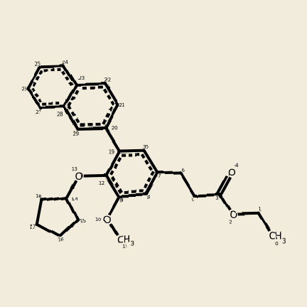 CCOC(=O)CCc1cc(OC)c(OC2CCCC2)c(-c2ccc3ccccc3c2)c1